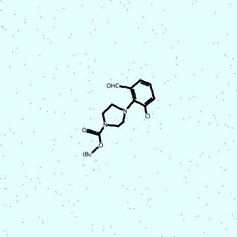 CC(C)(C)OC(=O)N1CCN(c2c(Cl)cccc2C=O)CC1